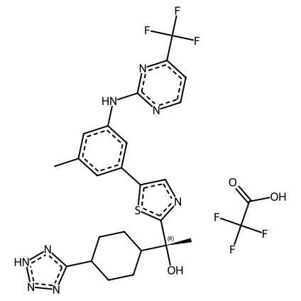 Cc1cc(Nc2nccc(C(F)(F)F)n2)cc(-c2cnc([C@](C)(O)C3CCC(c4nn[nH]n4)CC3)s2)c1.O=C(O)C(F)(F)F